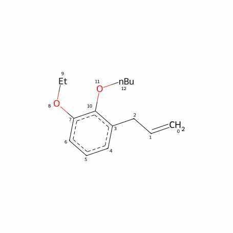 C=CCc1cccc(OCC)c1OCCCC